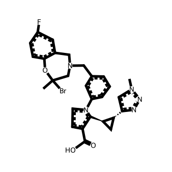 Cn1cc([C@@H]2C[C@H]2c2c(C(=O)O)ccn2-c2cccc(CN3Cc4cc(F)ccc4OC(C)(Br)C3)c2)nn1